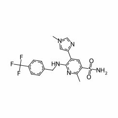 Cc1nc(NCc2ccc(C(F)(F)F)cc2)c(-c2cn(C)cn2)cc1S(N)(=O)=O